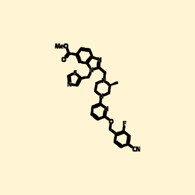 COC(=O)c1ccc2nc(CN3CCN(c4cccc(OCc5ccc(C#N)cc5F)n4)C[C@@H]3C)n(Cc3cncs3)c2c1